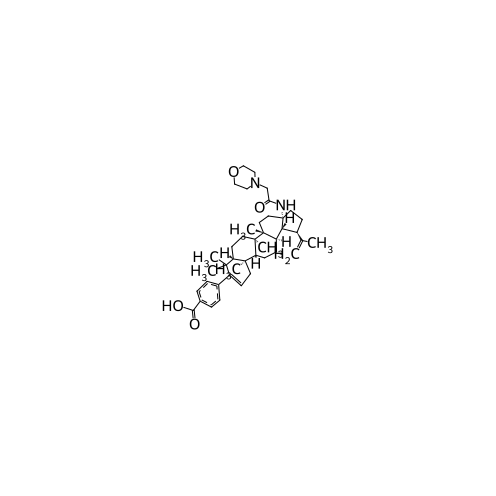 C=C(C)[C@@H]1CC[C@]2(NC(=O)CN3CCOCC3)CC[C@]3(C)[C@H](CC[C@@H]4[C@@]5(C)CC=C(c6ccc(C(=O)O)cc6)C(C)(C)[C@@H]5CC[C@]43C)[C@@H]12